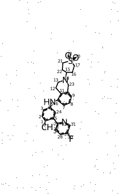 Cc1ccc(Nc2cccc3c2CCN(C2CCS(=O)(=O)CC2)C3)cc1-c1ccc(F)cn1